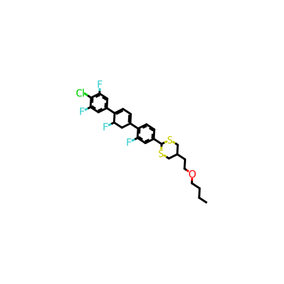 CCCCOCCC1CSC(c2ccc(C3=CC=C(c4cc(F)c(Cl)c(F)c4)C(F)C3)c(F)c2)SC1